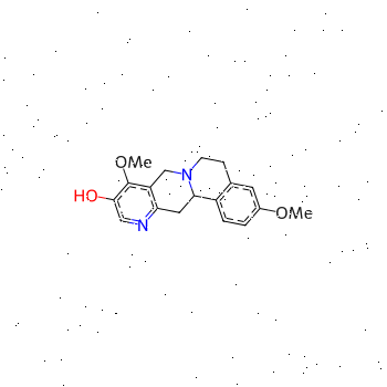 COc1ccc2c(c1)CCN1Cc3c(ncc(O)c3OC)CC21